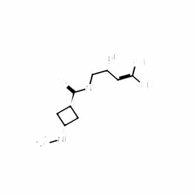 CCC[C@H](C=C(C)C)CNC(=O)[C@H]1C[C@H](NC#N)C1